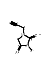 C#CCN1CC(=O)N([CH2])C1=O